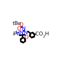 CC(C)CC1(c2ccccc2)N/C(=N\C(=O)OC(C)(C)C)N(Cc2cccc(C(=O)O)c2)C1=O